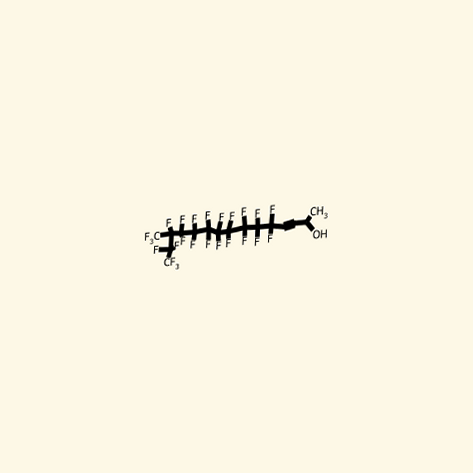 CC(O)C#CC(F)(F)C(F)(F)C(F)(F)C(F)(F)C(F)(F)C(F)(F)C(F)(F)C(F)(F)C(F)(C(F)(F)F)C(F)(F)C(F)(F)F